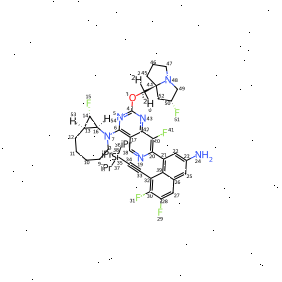 [2H]C([2H])(Oc1nc(N2CCCCC[C@H]3[C@H](F)[C@H]32)c2cnc(-c3cc(N)cc4cc(F)c(F)c(C#C[Si](C(C)C)(C(C)C)C(C)C)c34)c(F)c2n1)[C@@]12CCCN1C[C@H](F)C2